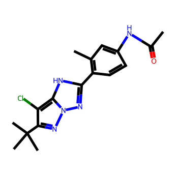 CC(=O)Nc1ccc(-c2nn3nc(C(C)(C)C)c(Cl)c3[nH]2)c(C)c1